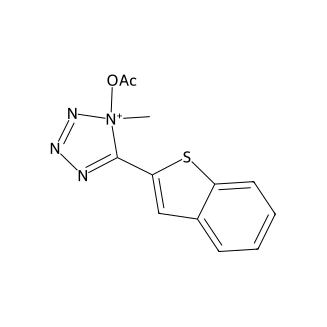 CC(=O)O[N+]1(C)N=NN=C1c1cc2ccccc2s1